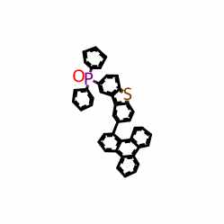 O=P(c1ccccc1)(c1ccccc1)c1ccc2sc3ccc(-c4cccc5c6ccccc6c6ccccc6c45)cc3c2c1